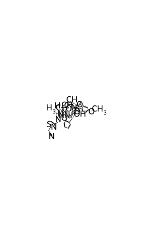 COc1ccc(S(=O)(=O)N(CC(C)C)C[C@@H](O)[C@H](Cc2ccccc2)NC(=O)[C@H](C(C)C)N2CCN(Cc3csc(CC#N)n3)C2=O)cc1